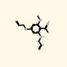 C=CCOc1cc(OC)c(C(C)=O)c(OCC=C)c1